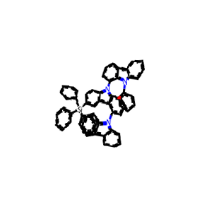 c1ccc(-n2c3ccccc3c3cccc(-n4c5ccc([Si](c6ccccc6)(c6ccccc6)c6ccccc6)cc5c5c(-n6c7ccccc7c7ccccc76)cccc54)c32)cc1